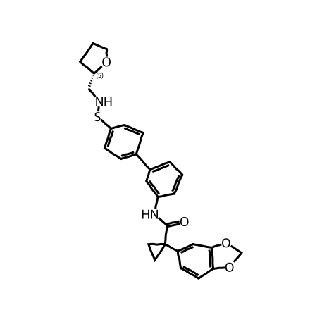 O=C(Nc1cccc(-c2ccc(SNC[C@@H]3CCCO3)cc2)c1)C1(c2ccc3c(c2)OCO3)CC1